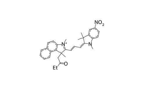 CCC(=O)CC1(C)C(/C=C/C=C2/N(C)c3ccc([N+](=O)[O-])cc3C2(C)C)=[N+](C)c2ccc3ccccc3c21